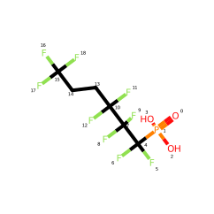 O=P(O)(O)C(F)(F)C(F)(F)C(F)(F)CCC(F)(F)F